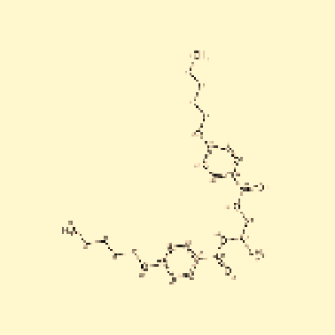 CCCCCOc1ccc(C(=O)OCC(C)OC(=O)c2ccc(OCCCCC)cc2)cc1